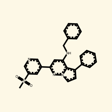 CS(=O)(=O)c1cncc(-c2cc(NCc3ccccc3)c3c(-c4ccccc4)ccn3n2)c1